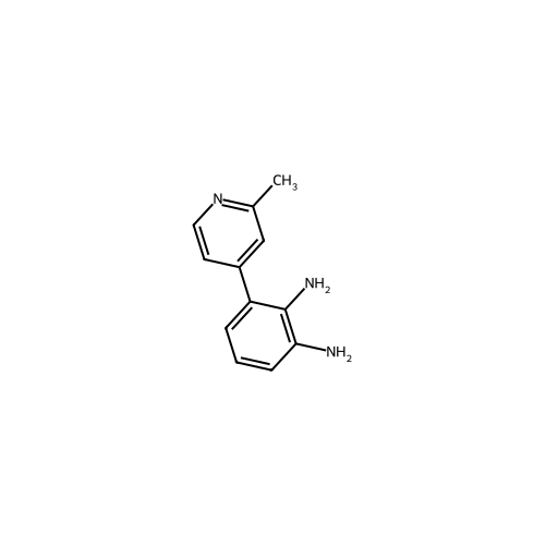 Cc1cc(-c2cccc(N)c2N)ccn1